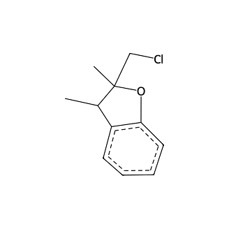 CC1c2ccccc2OC1(C)CCl